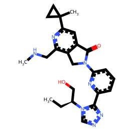 CC[C@@H](CO)n1cnnc1-c1cccc(N2Cc3c(cc(C4(C)CC4)nc3CNC)C2=O)n1